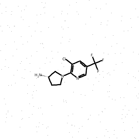 N[C@H]1CCN(c2ncc(C(F)(F)F)cc2Cl)C1